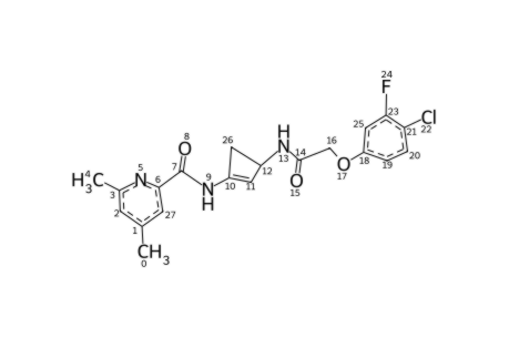 Cc1cc(C)nc(C(=O)NC2=CC(NC(=O)COc3ccc(Cl)c(F)c3)C2)c1